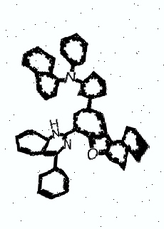 C1=CCC(C2=C3C=CC=CC3NC(c3cc(-c4cccc(N(c5ccccc5)c5cccc6ccccc56)c4)cc4c3oc3ccc5ccccc5c34)=N2)C=C1